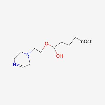 CCCCCCCCCCCC(O)OCCN1CC=NCC1